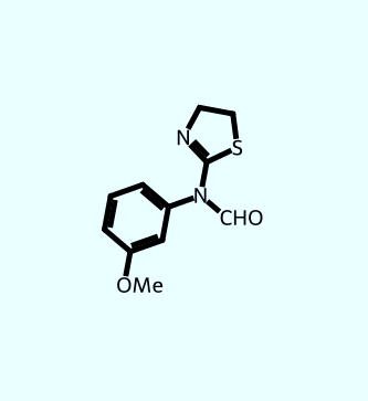 COc1cccc(N(C=O)C2=NCCS2)c1